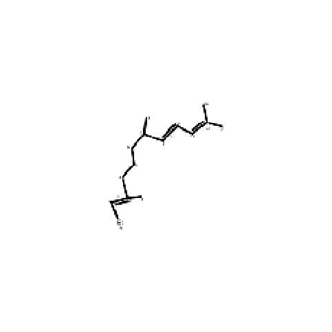 [CH2]C/C=C(\C)CCCC(C)/C=C/C=C(C)C